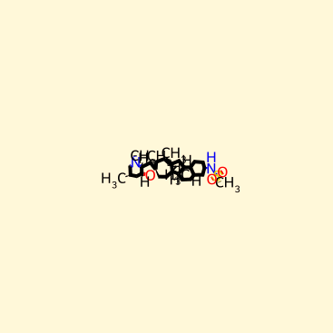 CC1=C2C[C@H]3[C@@H](CC[C@@H]4C[C@H](NS(C)(=O)=O)CC[C@@]43C)[C@@H]2CC[C@@]2(C1)O[C@@H]1C[C@H](C)CN(C)[C@H]1[C@H]2C